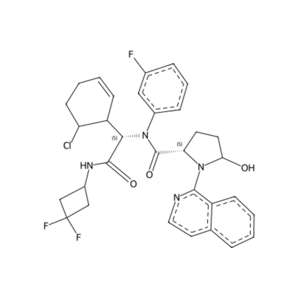 O=C(NC1CC(F)(F)C1)[C@H](C1C=CCCC1Cl)N(C(=O)[C@@H]1CCC(O)N1c1nccc2ccccc12)c1cccc(F)c1